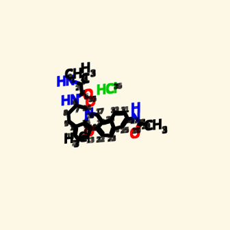 CN[C@@H](C)C(=O)N[C@H]1CCc2ccccc2N(Cc2c(OC)ccc3cc(NC(C)=O)ccc23)C1=O.Cl